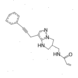 C=CC(=O)NCC1CNc2c(CC#Cc3ccccc3)cnn2C1